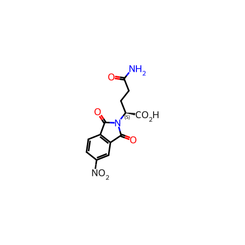 NC(=O)CC[C@@H](C(=O)O)N1C(=O)c2ccc([N+](=O)[O-])cc2C1=O